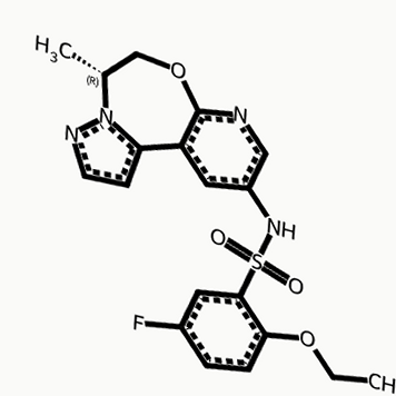 CCOc1ccc(F)cc1S(=O)(=O)Nc1cnc2c(c1)-c1ccnn1[C@H](C)CO2